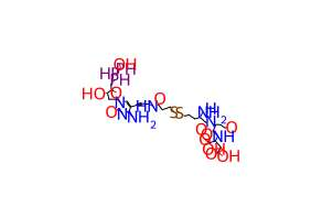 Nc1nc(=O)n(C2CC(O)C(CPPPO)O2)cc1C#CCNC(=O)CCSSCCCC(N)C(=O)NC(CC=O)C(=O)NC(CC(=O)O)C(=O)O